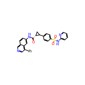 CC(C)c1cncc2ccc(NC(=O)[C@@H]3CC3c3ccc(S(=O)(=O)Nc4ccccn4)cc3)cc12